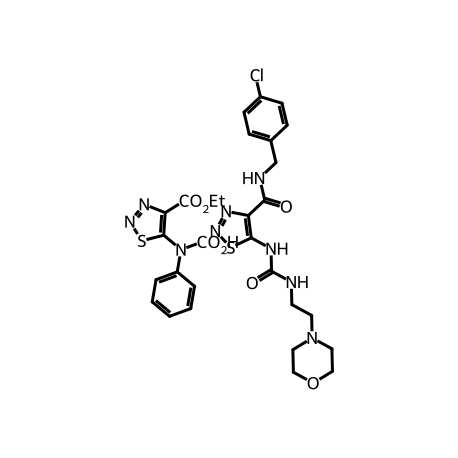 CCOC(=O)c1nnsc1N(C(=O)O)c1ccccc1.O=C(NCCN1CCOCC1)Nc1snnc1C(=O)NCc1ccc(Cl)cc1